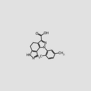 Cc1ccc(C)c(-n2nc(C(=O)O)c3c2-c2cn[nH]c2CC3)c1